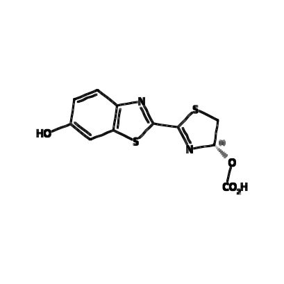 O=C(O)O[C@H]1CSC(c2nc3ccc(O)cc3s2)=N1